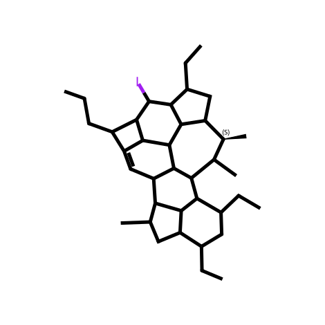 CCCC1C2=CC3C4C(C)CC5C(CC)CC(CC)C(C54)C4C3C3C2C1C(I)C1C(CC)CC(C13)[C@@H](C)C4C